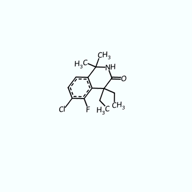 CCC1(CC)C(=O)NC(C)(C)c2ccc(Cl)c(F)c21